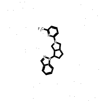 FC(F)(F)c1cccc(N2CC3CCC(n4ncc5ccccc54)C3C2)n1